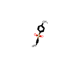 CCCC#CS(=O)(=O)c1ccc(C)cc1